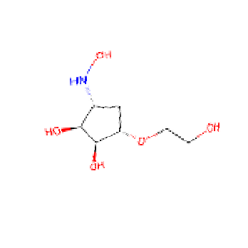 OCCO[C@H]1C[C@@H](NO)[C@H](O)[C@@H]1O